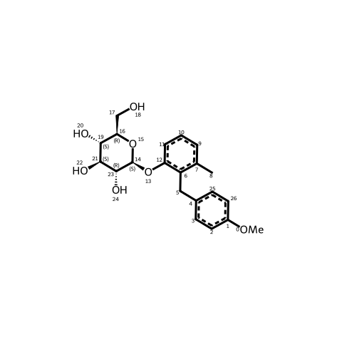 COc1ccc(Cc2c(C)cccc2O[C@@H]2O[C@H](CO)[C@@H](O)[C@H](O)[C@H]2O)cc1